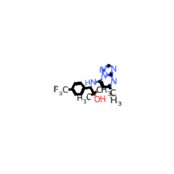 Cc1cc(N[C@@H](c2ccc(C(F)(F)F)cc2)C(C)(C)O)n2ncnc2n1